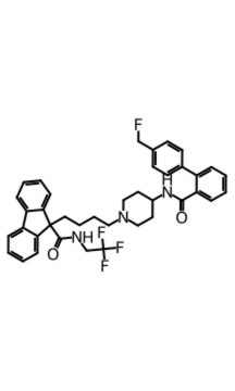 O=C(NC1CCN(CCCCC2(C(=O)NCC(F)(F)F)c3ccccc3-c3ccccc32)CC1)c1ccccc1-c1ccc(CF)cc1